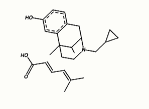 CC(C)=C/C=C/C(=O)O.CC1C2Cc3ccc(O)cc3C1(C)CCN2CC1CC1